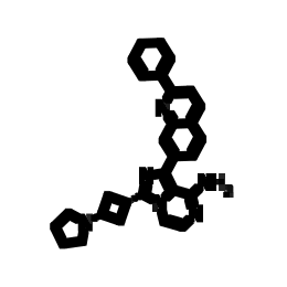 Nc1nccn2c1c(-c1ccc3ccc(C4=CCCC=C4)nc3c1)nc2[C@H]1C[C@@H](N2CCCC2)C1